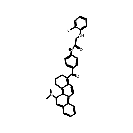 CN(C)C1C=c2ccccc2=c2ccc3c(c21)CCCC=3C(=O)c1ccc(NC(=O)CNc2ccccc2Cl)cc1